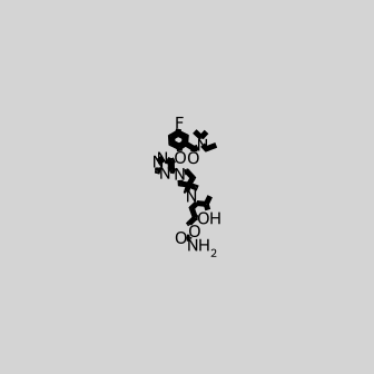 CCN(C(=O)c1cc(F)ccc1Oc1nncnc1N1CCC2(C1)CN(C(CC(O)COC(N)=O)C(C)C)C2)C(C)C